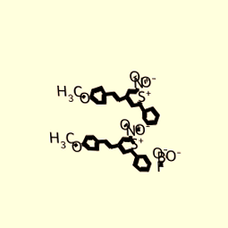 COc1ccc(C=Cc2cc(-c3ccccc3)[s+]c([N+](=O)[O-])c2)cc1.COc1ccc(C=Cc2cc(-c3ccccc3)[s+]c([N+](=O)[O-])c2)cc1.[O-]B([O-])F